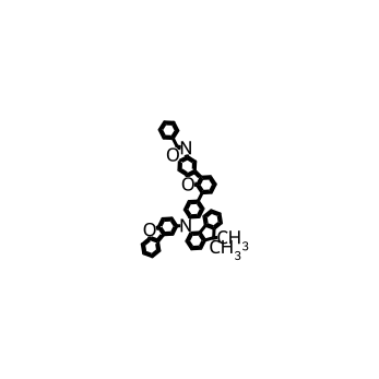 CC1(C)c2ccccc2-c2c(N(c3ccc(-c4cccc5c4oc4cc6oc(-c7ccccc7)nc6cc45)cc3)c3ccc4oc5ccccc5c4c3)cccc21